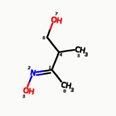 C/C(=N\O)C(C)CO